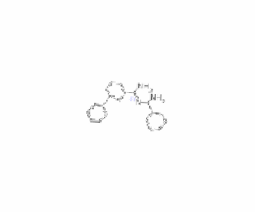 N/C(=N\C(N)c1ccccc1)c1cccc(-c2ccccc2)c1